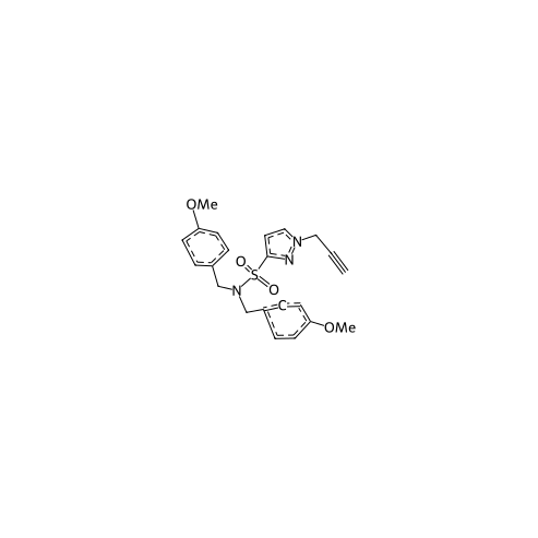 C#CCn1ccc(S(=O)(=O)N(Cc2ccc(OC)cc2)Cc2ccc(OC)cc2)n1